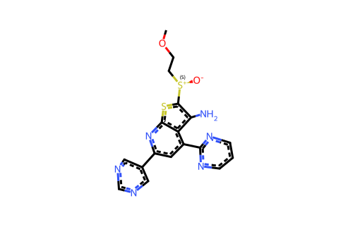 COCC[S@@+]([O-])c1sc2nc(-c3cncnc3)cc(-c3ncccn3)c2c1N